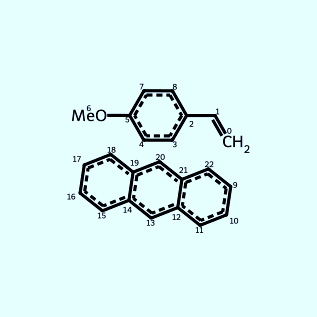 C=Cc1ccc(OC)cc1.c1ccc2cc3ccccc3cc2c1